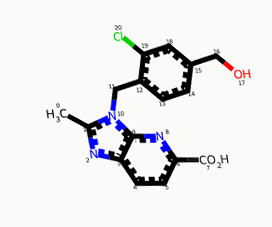 Cc1nc2ccc(C(=O)O)nc2n1Cc1ccc(CO)cc1Cl